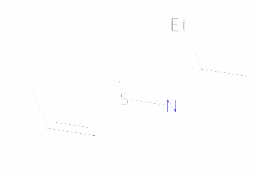 CC/C(C)=N\SC=C(C)C